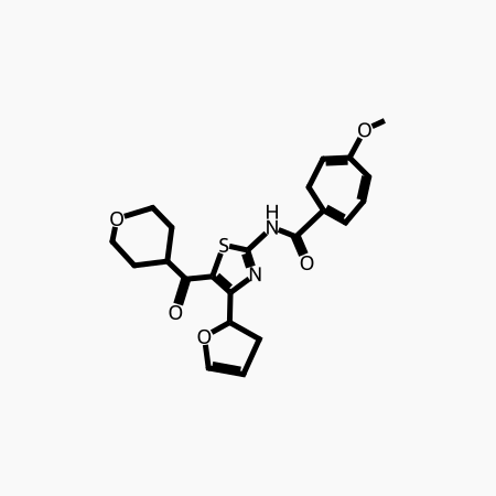 COC1=CCC(C(=O)Nc2nc(C3CC=CO3)c(C(=O)C3CCOCC3)s2)=CC=C1